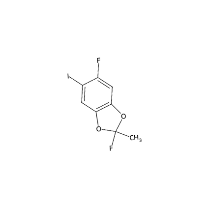 CC1(F)Oc2cc(F)c(I)cc2O1